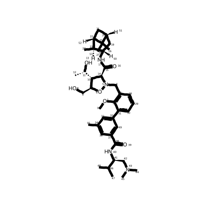 COc1c(CN2O[C@@H](CO)[C@H]([C@H](C)O)[C@H]2C(=O)N[C@H]2C[C@H]3C[C@@H]([C@@H]2C)C3(C)C)cccc1-c1cc(C)cc(C(=O)N[C@@H](CN(C)C)C(C)C)c1